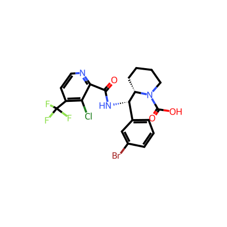 O=C(N[C@@H](c1cccc(Br)c1)[C@@H]1CCCCN1C(=O)O)c1nccc(C(F)(F)F)c1Cl